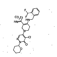 CCOC(=O)C(=N)C1=C(NCc2ccccc2C(F)F)CCN(c2cnn(C3CCCCO3)c(=O)c2Cl)C1